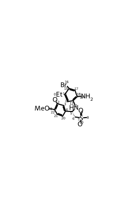 CCOc1cc([C@@H](CS(C)(=O)=O)Nc2ccc(Br)cc2N)ccc1OC